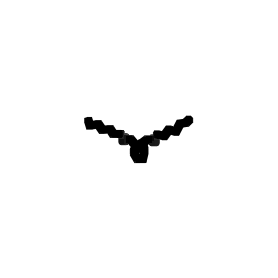 CCCCCCCOCC1C2CCC(C2)C1COCCCCCCC